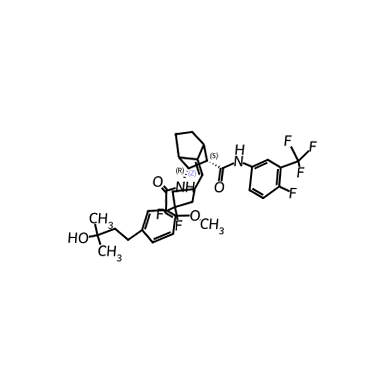 COc1ccc(CCC(C)(C)O)cc1C(=O)N[C@@H]1C2CCC(/C2=C/C2CC(F)(F)C2)[C@@H]1C(=O)Nc1ccc(F)c(C(F)(F)F)c1